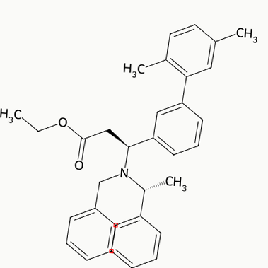 CCOC(=O)C[C@@H](c1cccc(-c2cc(C)ccc2C)c1)N(Cc1ccccc1)[C@H](C)c1ccccc1